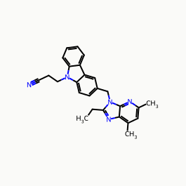 CCc1nc2c(C)cc(C)nc2n1Cc1ccc2c(c1)c1ccccc1n2CCC#N